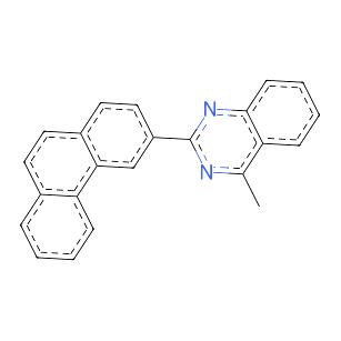 Cc1nc(-c2ccc3ccc4ccccc4c3c2)nc2ccccc12